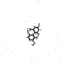 CCc1ccc(F)c(-c2c(F)cc(F)cc2Cl)c1F